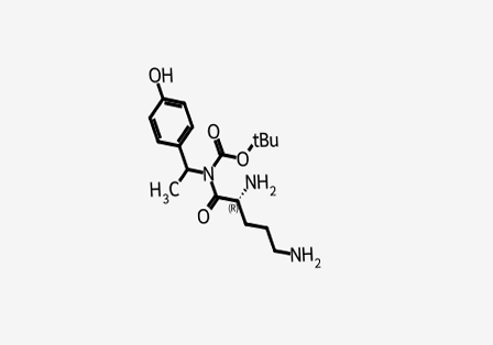 CC(c1ccc(O)cc1)N(C(=O)OC(C)(C)C)C(=O)[C@H](N)CCCN